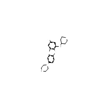 Cl.FC(F)(F)c1cc(NC2CCNCC2)c2c(c1)Sc1cc(N3CCNCC3)ccc1N2